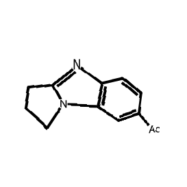 CC(=O)c1ccc2nc3n(c2c1)CCC3